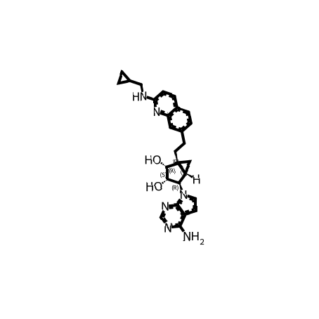 Nc1ncnc2c1ccn2[C@H]1[C@H](O)[C@H](O)[C@]2(CCc3ccc4ccc(NCC5CC5)nc4c3)C[C@H]12